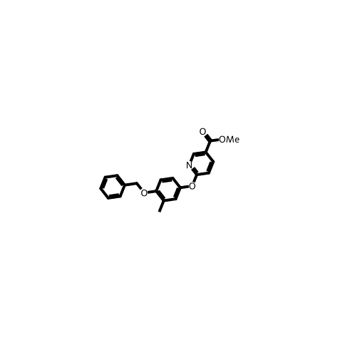 COC(=O)c1ccc(Oc2ccc(OCc3ccccc3)c(C)c2)nc1